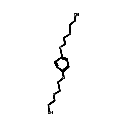 OCCOCCOc1ccc(OCCOCCO)cc1